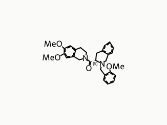 COc1ccccc1CN1Cc2ccccc2C[C@H]1C(=O)N1CCc2cc(OC)c(OC)cc2C1